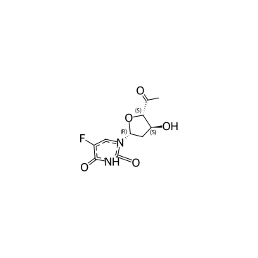 CC(=O)[C@H]1O[C@@H](n2cc(F)c(=O)[nH]c2=O)C[C@@H]1O